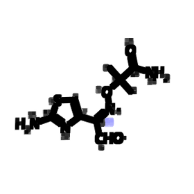 CC(C)(O/N=C(/[C]=O)c1csc(N)n1)C(N)=O